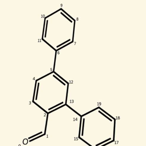 O=Cc1ccc(-c2ccccc2)cc1-c1ccccc1